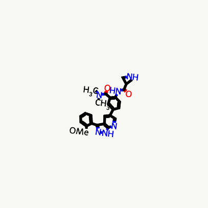 COc1ccccc1-c1n[nH]c2ncc(-c3ccc(NC(=O)C4CNC4)c(C(=O)N(C)C)c3)cc12